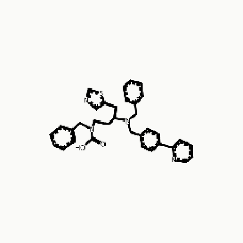 O=C(O)N(CCC(Cc1cncs1)N(Cc1ccccc1)Cc1ccc(-c2ccccn2)cc1)Cc1ccccc1